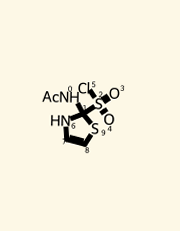 CC(=O)NC1(S(=O)(=O)Cl)NC=CS1